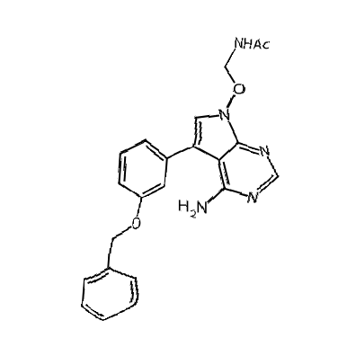 CC(=O)NCOn1cc(-c2cccc(OCc3ccccc3)c2)c2c(N)ncnc21